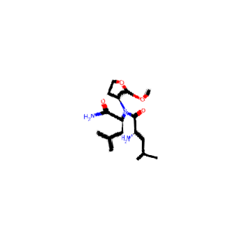 COC1OCC[C@@H]1N(C(=O)[C@@H](N)CC(C)C)[C@@H](CC(C)C)C(N)=O